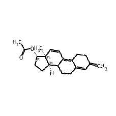 C=C1C=C2CCC3C(=C2CC1)C=C[C@]1(C)[C@@H](OC(C)=O)CC[C@H]31